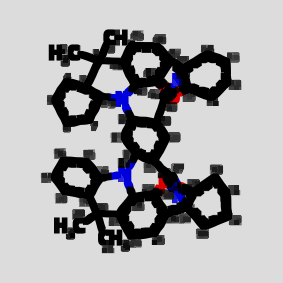 CC1(C)c2ccccc2N(c2cc(N3c4ccccc4C(C)(C)c4ccc5c(oc6ccccc65)c43)c(C#N)cc2C#N)c2c1ccc1c2oc2ccccc21